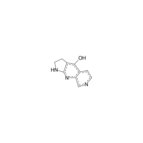 Oc1c2c(nc3cnccc13)NCC2